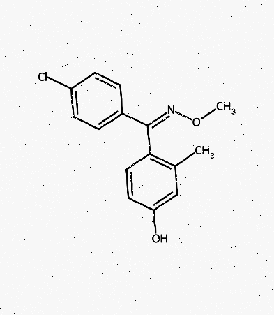 CON=C(c1ccc(Cl)cc1)c1ccc(O)cc1C